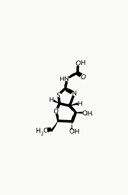 C=C[C@H]1O[C@@H]2SC(NC(=O)O)=N[C@@H]2[C@@H](O)[C@@H]1O